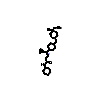 CCC(C)CC1(CC)CCN(CC2CCN(/C(=N/CC(=O)NC3CCCCC3)C3CC3)CC2)CC1